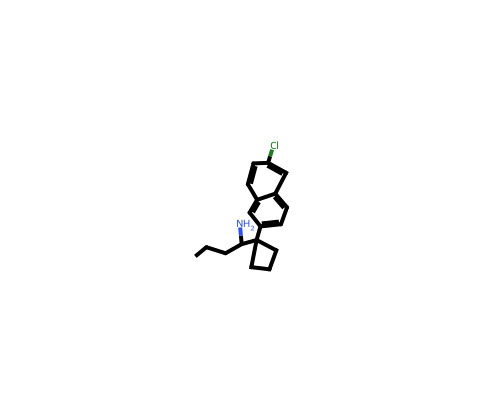 CCCC(N)C1(c2ccc3cc(Cl)ccc3c2)CCC1